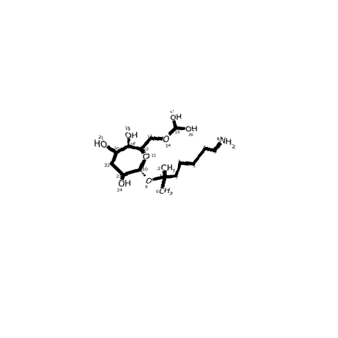 CC(C)(CCCCCN)O[C@H]1OC(COC(O)O)[C@H](O)C(O)CC1O